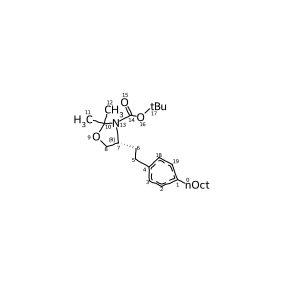 CCCCCCCCc1ccc(CC[C@@H]2COC(C)(C)N2C(=O)OC(C)(C)C)cc1